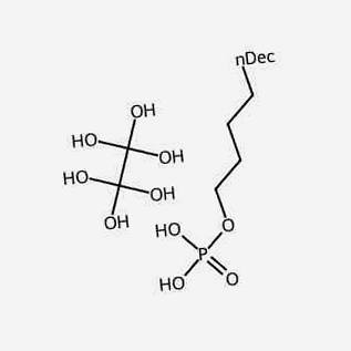 CCCCCCCCCCCCCCOP(=O)(O)O.OC(O)(O)C(O)(O)O